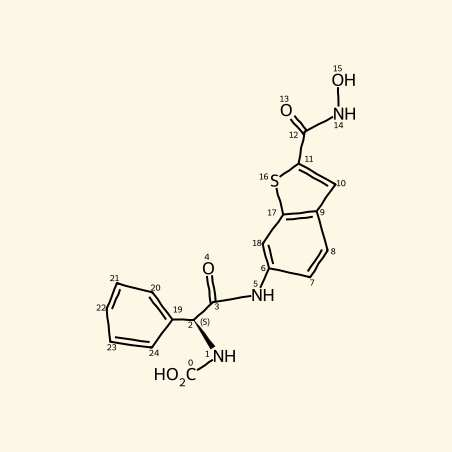 O=C(O)N[C@H](C(=O)Nc1ccc2cc(C(=O)NO)sc2c1)c1ccccc1